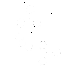 c1ccc(N(c2ccccc2)c2cccc(-c3ccc4[nH]c5ccc(-c6cccc(N(c7ccccc7)c7ccccc7)c6)cc5c4c3)c2)cc1